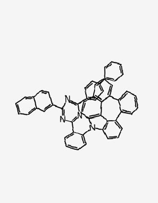 c1ccc(-c2ccc(-c3nc(-c4ccc5ccccc5c4)nc(-c4ccccc4-n4c5cccc6c5c5c7c(cccc7ccc54)-c4ccccc4-6)n3)cc2)cc1